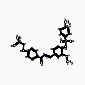 COc1cc(/C=C/C(=O)c2ccc(OCC(=O)O)cc2)ccc1OS(=O)(=O)c1ccc(C)cc1